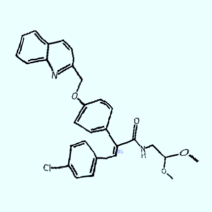 COC(CNC(=O)/C(=C/c1ccc(Cl)cc1)c1ccc(OCc2ccc3ccccc3n2)cc1)OC